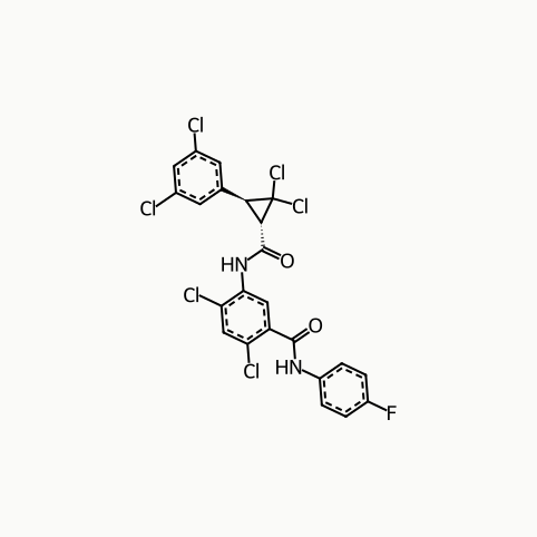 O=C(Nc1ccc(F)cc1)c1cc(NC(=O)[C@@H]2[C@@H](c3cc(Cl)cc(Cl)c3)C2(Cl)Cl)c(Cl)cc1Cl